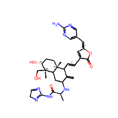 C=C1C(NC(C)C(=O)NC2=NCC=N2)CC2[C@](C)(CC[C@@H](O)[C@@]2(C)CO)C1/C=C/C1=CC(=C\c2cnc(N)nc2)/OC1=O